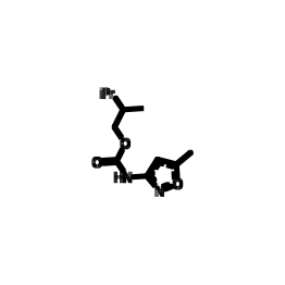 Cc1cc(NC(=O)OCC(C)C(C)C)no1